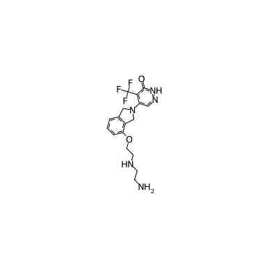 NCCNCCOc1cccc2c1CN(c1cn[nH]c(=O)c1C(F)(F)F)C2